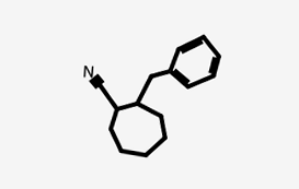 N#CC1CCCCCC1Cc1ccccc1